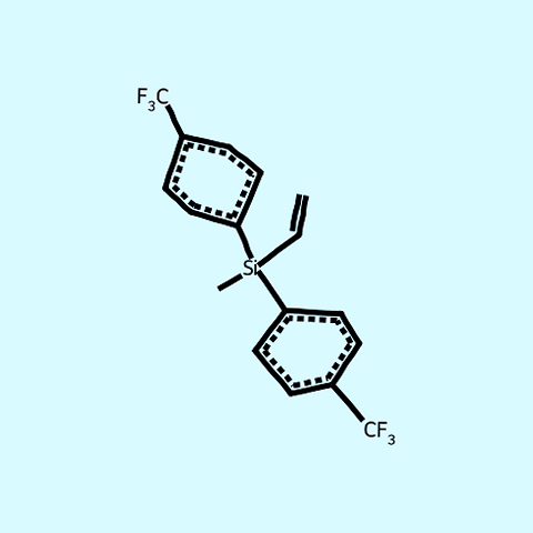 C=C[Si](C)(c1ccc(C(F)(F)F)cc1)c1ccc(C(F)(F)F)cc1